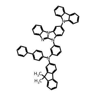 CC1(C)c2ccccc2-c2ccc(N(c3ccc(-c4ccccc4)cc3)c3cccc(-n4c5ccc(-n6c7ccccc7c7ccccc76)cc5n5c6ccccc6nc45)c3)cc21